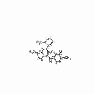 Cc1ccccc1-c1cc(Nc2cnn(C)c(=O)c2C)c2ccn(C)c2c1